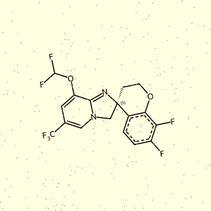 Fc1ccc2c(c1F)OCC[C@@]21CN2C=C(C(F)(F)F)C=C(OC(F)F)C2=N1